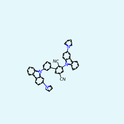 N#Cc1cc(-c2cccc(-n3c4ccccc4c4ccc(-n5cccc5)cc43)c2)c(C#N)c(-n2c3ccccc3c3cc(-n4cccc4)ccc32)c1